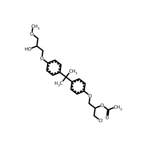 COCC(O)COc1ccc(C(C)(C)c2ccc(OCC(CCl)OC(C)=O)cc2)cc1